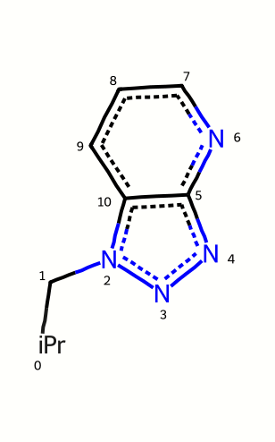 CC(C)Cn1nnc2ncccc21